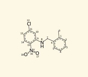 Cc1ccccc1CNc1cc(Cl)ccc1[N+](=O)[O-]